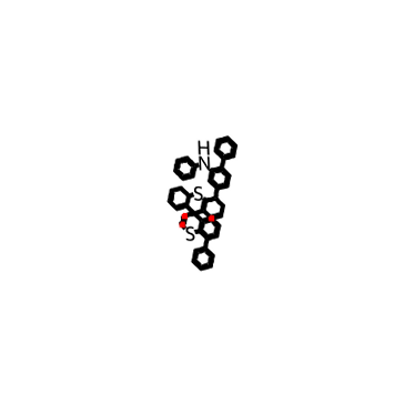 C1=CCC2SC3=C(C=CCC3c3ccc(-c4ccccc4)c(Nc4ccccc4)c3)C3(C2=C1)c1ccccc1Sc1c(-c2ccccc2)cccc13